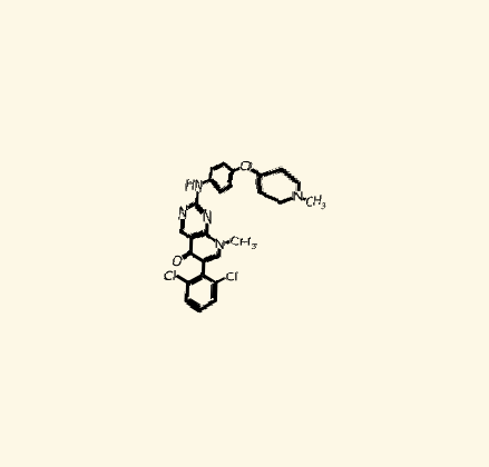 CN1CCC(Oc2ccc(Nc3ncc4c(=O)c(-c5c(Cl)cccc5Cl)cn(C)c4n3)cc2)CC1